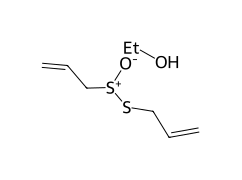 C=CCS[S+]([O-])CC=C.CCO